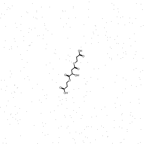 O=C(O)CCOC(=O)CC(O)C(=O)OCCC(=O)O